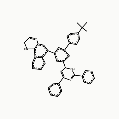 CC(C)(C)c1ccc(-c2cc(-c3cc4c(c5cccnc35)NCC=N4)cc(C3N=C(c4ccccc4)N=C(c4ccccc4)N3)c2)cc1